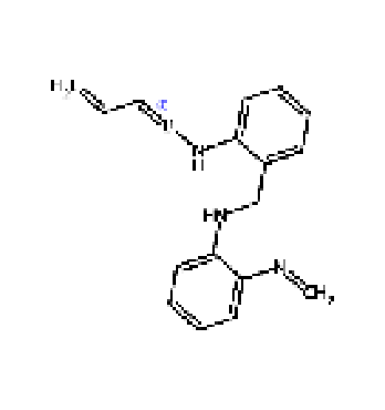 C=C/C=B\Nc1ccccc1CNc1ccccc1N=C